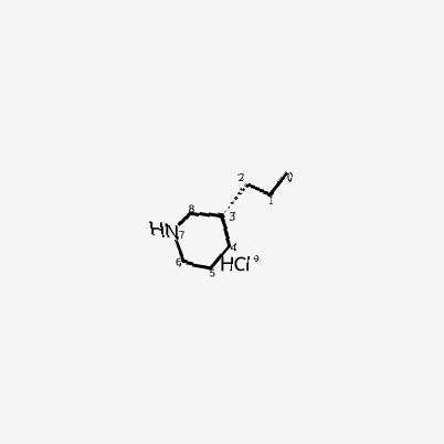 CCC[C@@H]1CCCNC1.Cl